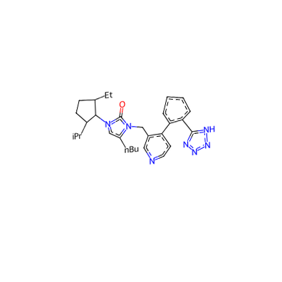 CCCCc1cn(C2C(CC)CCC2C(C)C)c(=O)n1Cc1cnccc1-c1ccccc1-c1nnn[nH]1